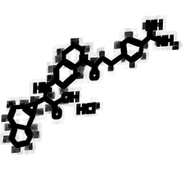 Cl.N=C(N)c1ccc(CCC(=O)N2CCCc3cc(NC(C(=O)O)C4c5ccc6ccccc6c54)ccc32)cc1